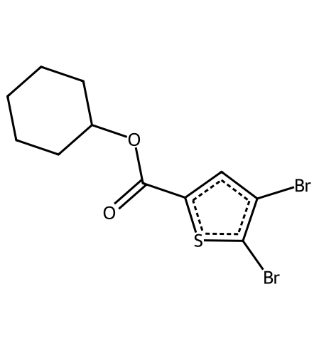 O=C(OC1CCCCC1)c1cc(Br)c(Br)s1